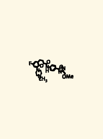 COCc1noc(-c2ccc(NC(=O)C3CCc4cc(F)cc(N5CCN(C)CC5)c4O3)cc2)n1